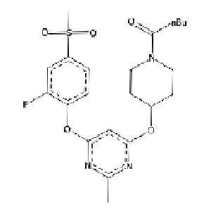 CCCCC(=O)N1CCC(Oc2cc(Oc3ccc(S(C)(=O)=O)cc3F)nc(C)n2)CC1